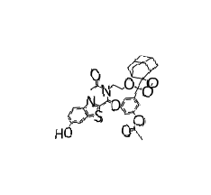 CC(=O)Oc1cccc([C@@]2(OCCN(C(C)=O)C(=O)c3nc4ccc(O)cc4s3)OOC23C2CC4CC(C2)CC3C4)c1